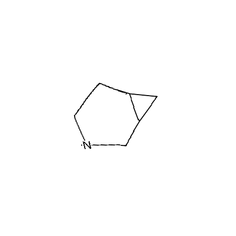 C1C[C]2CC2C[N]1